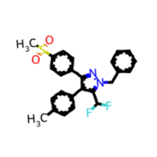 Cc1ccc(-c2c(-c3ccc(S(C)(=O)=O)cc3)nn(Cc3ccccc3)c2C(F)F)cc1